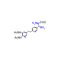 CC(=O)Nc1cc(CCc2ccc(C(N)N(N)C=O)cc2)cnc1NC(C)=O